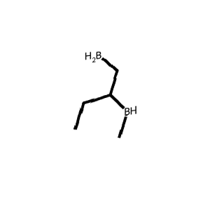 BCC(BC)CC